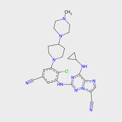 CN1CCN(C2CCN(c3cc(C#N)cc(Nc4nc(NC5CC5)c5ncc(C#N)n5n4)c3Cl)CC2)CC1